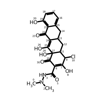 CN(C)NC(=O)C1=C(O)C(Cl)C2CC3Cc4cccc(O)c4C(=O)C3=C(O)C2(O)C1=O